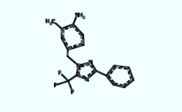 Cc1cc(Cn2nc(-c3ccccc3)nc2C(F)(F)F)ccc1N